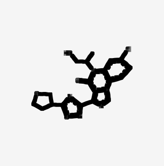 CC(CO)n1c(=O)c2c(-c3noc(C4CCOC4)n3)ncn2c2ccc(Cl)cc21